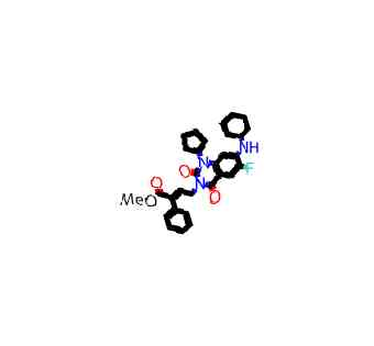 COC(=O)C(=CCn1c(=O)c2cc(F)c(NC3CCCCC3)cc2n(C2CCCC2)c1=O)c1ccccc1